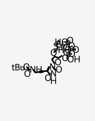 CC(=O)SCO[C@@H]1C[C@H](n2cc(C#CCNC(=O)OC(C)(C)C)c(=O)[nH]c2=O)OC1COP(=O)(O)OP(=O)(O)OP(=O)(O)O